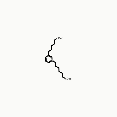 CCCCCCCCCCCCCCCC[n+]1cccc(CCCCCCCCCCCCCCC)c1